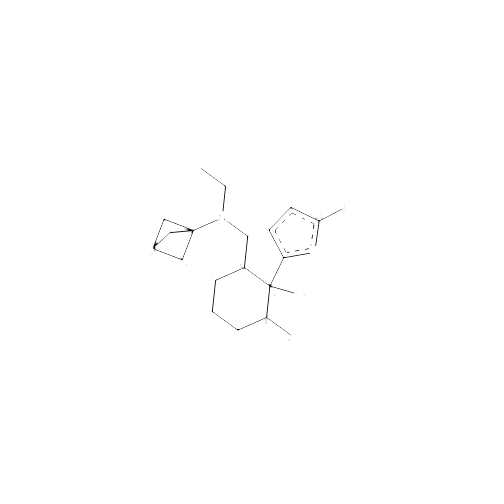 CCN(CC1CCCC(C)C1(O)c1ccc(Br)s1)C12CC(C1)C2